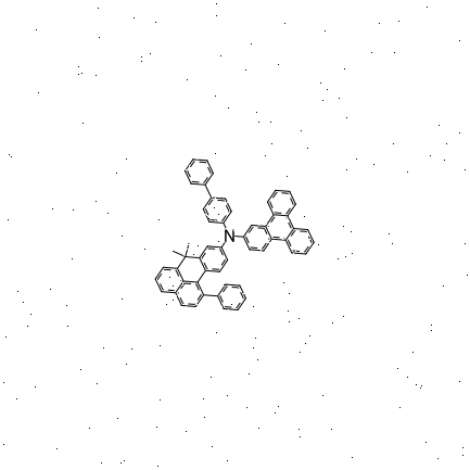 CC1(C)c2cc(N(c3ccc(-c4ccccc4)cc3)c3ccc4c5ccccc5c5ccccc5c4c3)ccc2-c2c(-c3ccccc3)ccc3cccc1c23